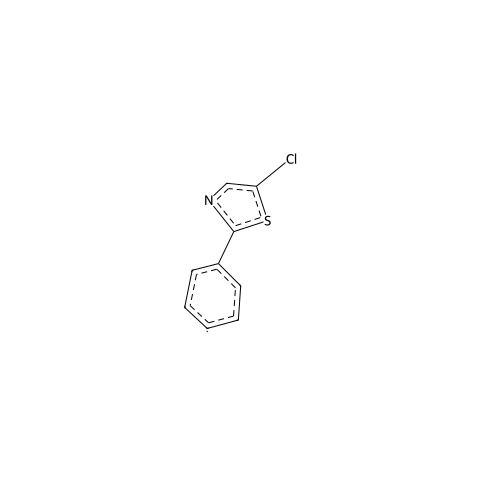 Clc1cnc(-c2cc[c]cc2)s1